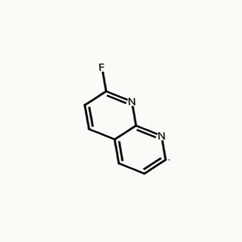 Fc1ccc2cc[c]nc2n1